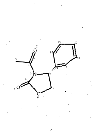 CC(=O)N1C(=O)OC[C@H]1c1ccccc1